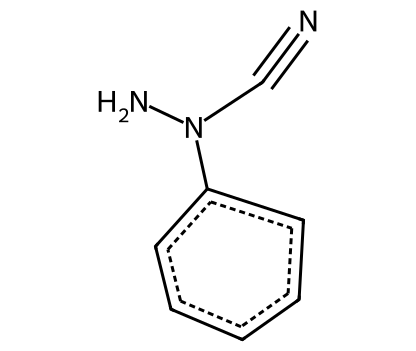 N#CN(N)c1ccccc1